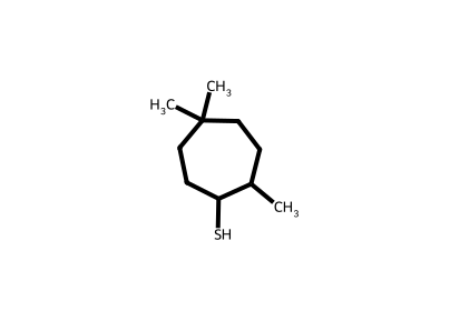 CC1CCC(C)(C)CCC1S